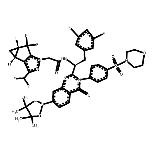 CC1(C)OB(c2ccc3c(=O)n(-c4ccc(S(=O)(=O)N5CCOCC5)cc4)c([C@H](Cc4cc(F)cc(F)c4)NC(=O)Cn4nc(C(F)F)c5c4C(F)(F)[C@H]4C[C@@H]54)nc3c2)OC1(C)C